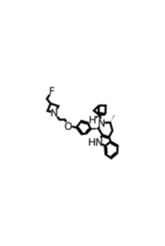 C[C@@H]1Cc2c([nH]c3ccccc23)[C@@H](c2ccc(OCCN3CC(CF)C3)cc2)N1[C@@H]1CC2CC1C2